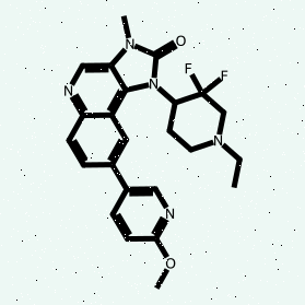 CCN1CCC(n2c(=O)n(C)c3cnc4ccc(-c5ccc(OC)nc5)cc4c32)C(F)(F)C1